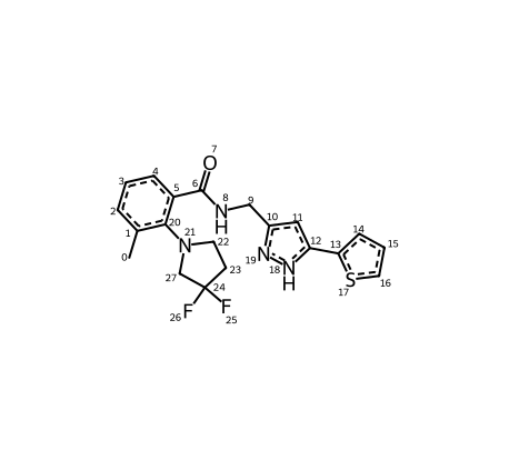 Cc1cccc(C(=O)NCc2cc(-c3cccs3)[nH]n2)c1N1CCC(F)(F)C1